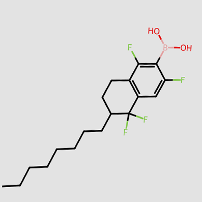 CCCCCCCCC1CCc2c(cc(F)c(B(O)O)c2F)C1(F)F